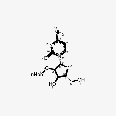 CCCCCCCCCOC1C(O)[C@@H](CO)O[C@H]1n1ccc(N)nc1=O